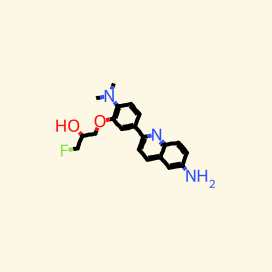 CN(C)c1ccc(-c2ccc3cc(N)ccc3n2)cc1OCC(O)CF